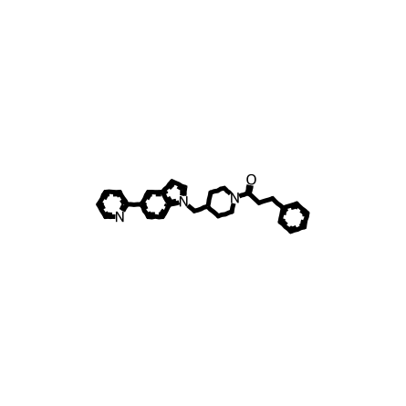 O=C(CCc1ccccc1)N1CCC(Cn2ccc3cc(-c4ccccn4)ccc32)CC1